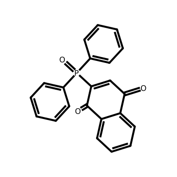 O=C1C=C(P(=O)(c2ccccc2)c2ccccc2)C(=O)c2ccccc21